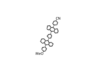 COc1ccc(-c2c3ccccc3c(-c3ccc(-c4c5ccccc5c(-c5ccc(C#N)cc5)c5ccccc45)cc3)c3ccccc23)cc1